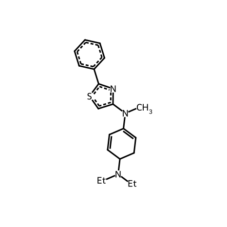 CCN(CC)C1C=CC(N(C)c2csc(-c3ccccc3)n2)=CC1